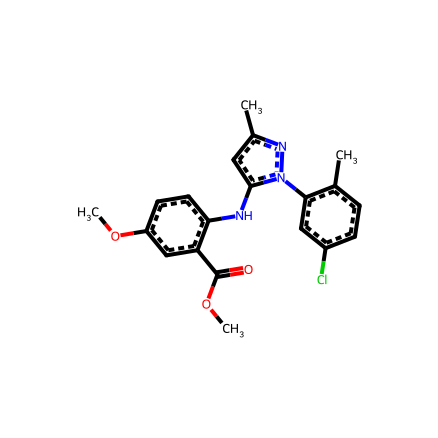 COC(=O)c1cc(OC)ccc1Nc1cc(C)nn1-c1cc(Cl)ccc1C